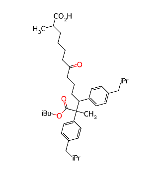 CCC(C)OC(=O)C(C)(c1ccc(CC(C)C)cc1)C(CCCC(=O)CCCCC(C)C(=O)O)c1ccc(CC(C)C)cc1